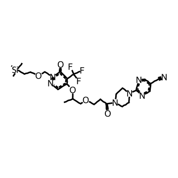 CC(COCCC(=O)N1CCN(c2ncc(C#N)cn2)CC1)Oc1cnn(COCC[Si](C)(C)C)c(=O)c1C(F)(F)F